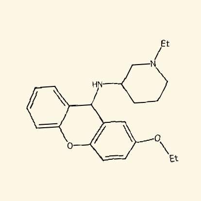 CCOc1ccc2c(c1)C(NC1CCCN(CC)C1)c1ccccc1O2